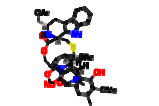 COc1c(C)cc2c(c1O)[C@H]1[C@@H]3[C@@H]4SC[C@]5(N[C@H](COC(C)=O)Cc6c5[nH]c5ccccc65)C(=O)OCC(c5c6c(c(C)c(OC(C)=O)c54)OCO6)N3C(O)(C2)CN1C